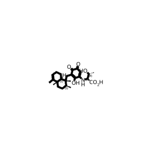 CC1=CCC[C@H]2[C@](C)(CC3=C(O)C(N[C@H](C(=O)O)[C@@H](C)O)=CC(=O)C3=O)[C@@H](C)CC[C@]12C